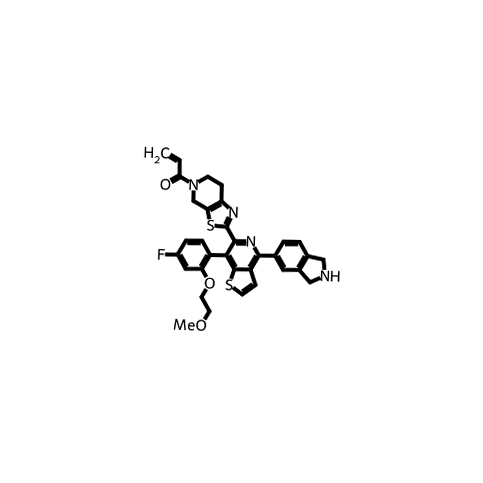 C=CC(=O)N1CCc2nc(-c3nc(-c4ccc5c(c4)CNC5)c4ccsc4c3-c3ccc(F)cc3OCCOC)sc2C1